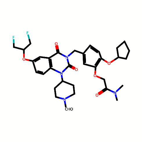 CN(C)C(=O)COc1cc(Cn2c(=O)c3cc(OC(CF)CF)ccc3n(C3CCN(C=O)CC3)c2=O)ccc1OC1CCCC1